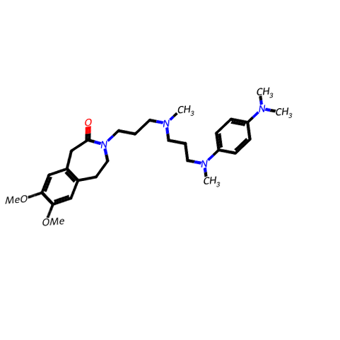 COc1cc2c(cc1OC)CC(=O)N(CCCN(C)CCCN(C)c1ccc(N(C)C)cc1)CC2